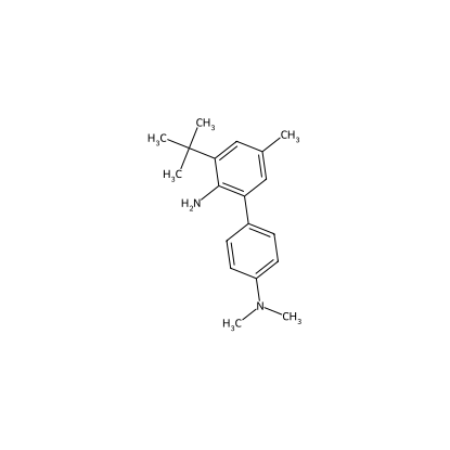 Cc1cc(-c2ccc(N(C)C)cc2)c(N)c(C(C)(C)C)c1